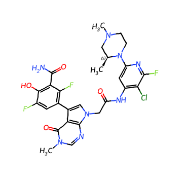 C[C@H]1CN(C)CCN1c1cc(NC(=O)Cn2cc(-c3cc(F)c(O)c(C(N)=O)c3F)c3c(=O)n(C)cnc32)c(Cl)c(F)n1